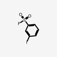 O=S(=O)(F)c1cccc(I)c1